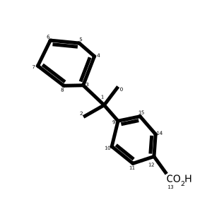 CC(C)(c1ccccc1)c1ccc(C(=O)O)cc1